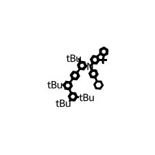 CC(C)(C)c1cc(-c2ccc(-c3cc(N(c4ccc(C5CCCCC5)cc4)c4ccc5c(c4)C(C)(C)c4ccccc4-5)cc(C(C)(C)C)c3)cc2)cc(-c2cc(C(C)(C)C)cc(C(C)(C)C)c2)c1